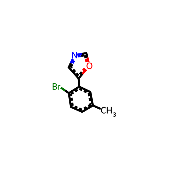 Cc1ccc(Br)c(-c2cnco2)c1